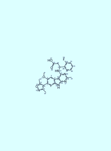 COc1cc2c(cc1-c1c(C)noc1C)[nH]c1nc(C)nc(NC(CC(=O)O)c3ccccc3F)c12